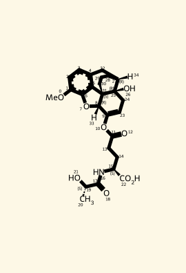 COc1ccc2c3c1O[C@H]1C(OC(=O)CC[C@H](NC(=O)[C@H](C)O)C(=O)O)=CC[C@@]4(O)[C@H](CCC[C@]314)C2